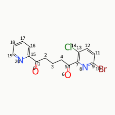 O=C(CCCC(=O)c1nc(Br)ccc1Cl)c1ccccn1